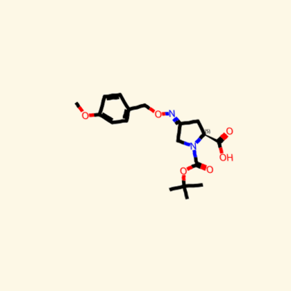 COc1ccc(CON=C2C[C@@H](C(=O)O)N(C(=O)OC(C)(C)C)C2)cc1